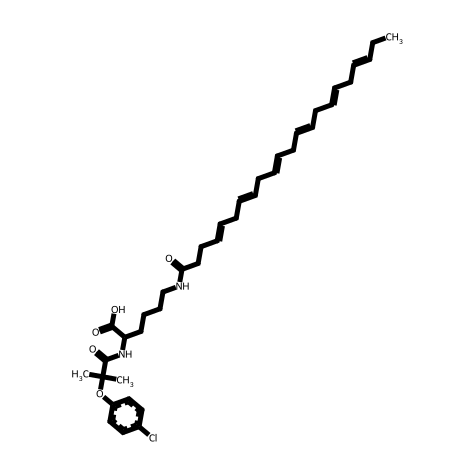 CCC=CCC=CCC=CCC=CCC=CCC=CCCC(=O)NCCCCC(NC(=O)C(C)(C)Oc1ccc(Cl)cc1)C(=O)O